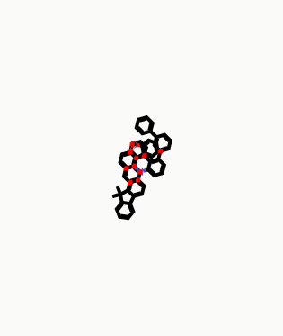 CC1(C)c2ccccc2-c2ccc(N(c3cccc(-c4cccc(-c5ccccc5)c4)c3-c3ccccc3-c3ccccc3)c3cccc4oc5ccccc5c34)cc21